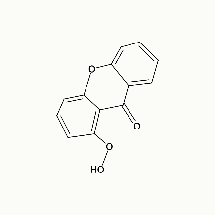 O=c1c2ccccc2oc2cccc(OO)c12